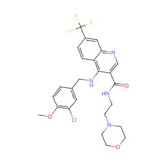 COc1ccc(CNc2c(C(=O)NCCN3CCOCC3)cnc3cc(C(F)(F)F)ccc23)cc1Cl